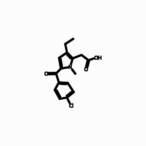 CCc1cc(C(=O)c2ccc(Cl)cc2)n(C)c1CC(=O)O